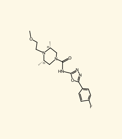 COCCN1[C@H](C)CN(C(=O)Nc2nnc(-c3ccc(F)cc3)o2)C[C@@H]1C